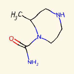 CC1CNCCN1C(N)=O